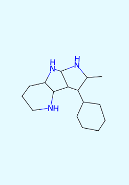 CC1NC2NC3CCCNC3C2C1C1CCCCC1